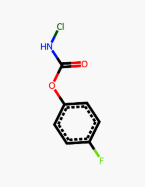 O=C(NCl)Oc1ccc(F)cc1